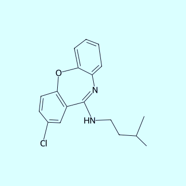 CC(C)CCNC1=Nc2ccccc2Oc2ccc(Cl)cc21